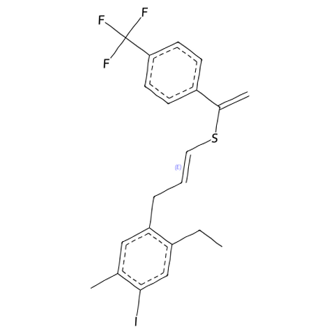 C=C(S/C=C/Cc1cc(C)c(I)cc1CC)c1ccc(C(F)(F)F)cc1